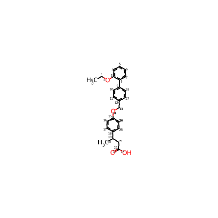 CCOc1ccccc1-c1ccc(COc2ccc(C(C)CC(=O)O)cc2)cc1